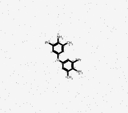 Cc1cc(Oc2cc(C)c(N)c(C(C)C)c2)cc(C(C)C)c1N